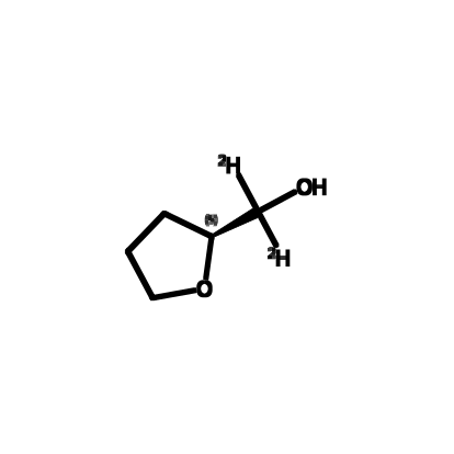 [2H]C([2H])(O)[C@@H]1CCCO1